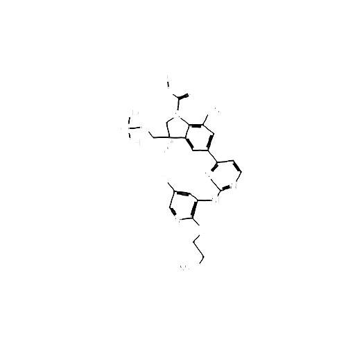 COCCOc1ncc(F)cc1Nc1nccc(-c2cc(C#N)c3c(c2)[C@@](C)(CO[Si](C)(C)C(C)(C)C)CN3C(=O)OC(C)(C)C)n1